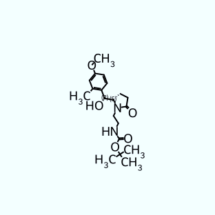 COc1ccc([C@@H](O)[C@@H]2CCC(=O)N2CCNC(=O)OC(C)(C)C)c(C)c1